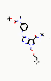 CCN(C(=O)OC(C)(C)C)c1cccc(Nc2cnc3c(n2)c(C(=O)NC(C)(C)C)cn3COCC[Si](C)(C)C)c1